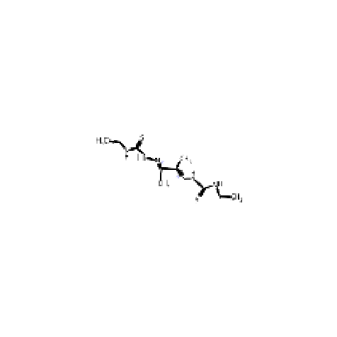 CCNC(=S)N/N=C(C)/C(C)=N/NC(=S)NCC